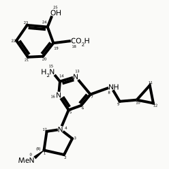 CN[C@@H]1CCN(c2cc(NCC3CC3)nc(N)n2)C1.O=C(O)c1ccccc1O